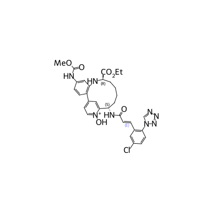 CCOC(=O)[C@H]1CCCC[C@H](NC(=O)/C=C/c2cc(Cl)ccc2-n2cnnn2)c2cc(cc[n+]2O)-c2ccc(NC(=O)OC)cc2N1